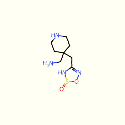 NCC1(CC2=NOS(=O)N2)CCNCC1